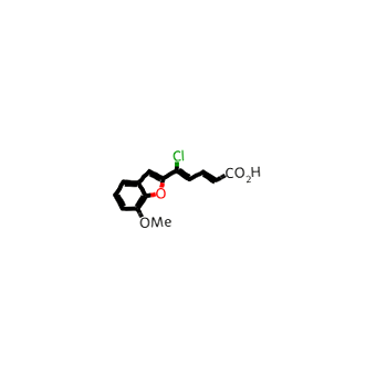 COc1cccc2cc(C(Cl)=CC=CC(=O)O)oc12